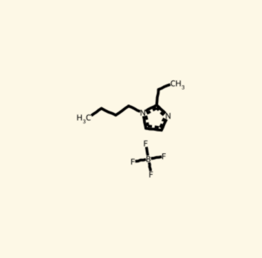 CCCCn1ccnc1CC.F[B-](F)(F)F